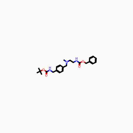 CN(CCNC(=O)OCc1ccccc1)Cc1ccc(CNC(=O)OC(C)(C)C)cc1